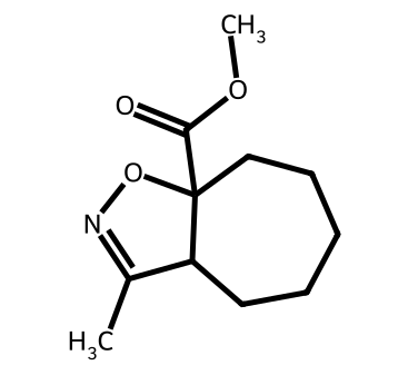 COC(=O)C12CCCCCC1C(C)=NO2